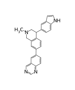 CN1Cc2cc(-c3ccc4ncncc4c3)ccc2C(c2ccc3[nH]ccc3c2)C1